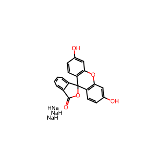 O=C1OC2(c3ccc(O)cc3Oc3cc(O)ccc32)c2ccccc21.[NaH].[NaH].[NaH]